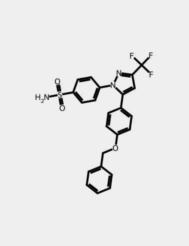 NS(=O)(=O)c1ccc(-n2nc(C(F)(F)F)cc2-c2ccc(OCc3ccccc3)cc2)cc1